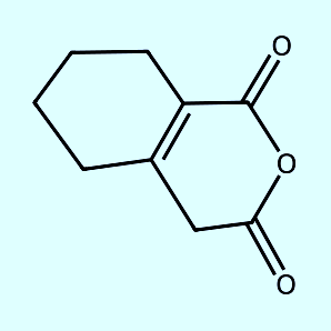 O=C1CC2=C(CCCC2)C(=O)O1